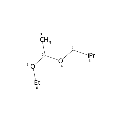 CCOC(C)OCC(C)C